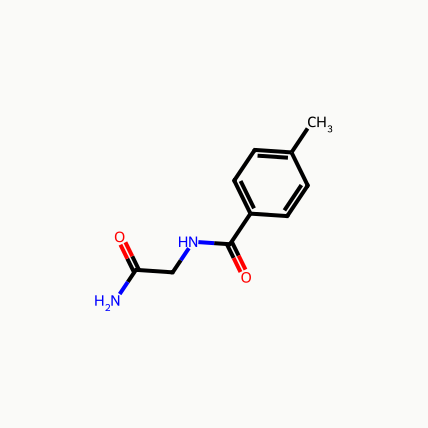 Cc1ccc(C(=O)NCC(N)=O)cc1